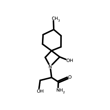 CC1CCC2(CC1)CN(C(CO)C(N)=O)C2O